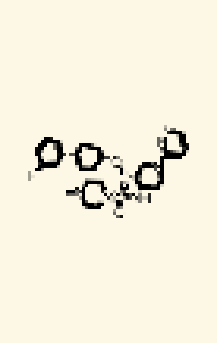 CN1CCN(S(=O)(=O)N[C@H]2CCN(c3cccnn3)C[C@H]2CO[C@H]2CC[C@@H](c3cccc(F)c3)CC2)CC1